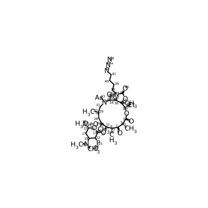 CC[C@H]1OC(=O)[C@H](C)C(=O)[C@H](C)[C@@H](O[C@@H]2OC(C)CC(N(C)C)C2P=O)[C@](C)(OC)C[C@@H](C)CN(C(C)=O)[C@H](C)[C@H]2N(CCCCN=[N+]=[N-])C(=O)O[C@]12C